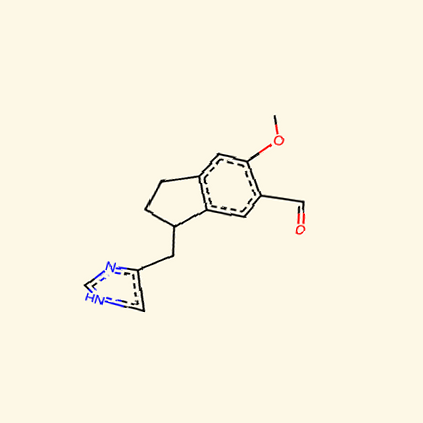 COc1cc2c(cc1C=O)C(Cc1c[nH]cn1)CC2